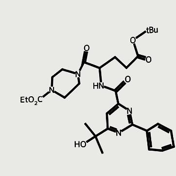 CCOC(=O)N1CCN(C(=O)C(CCC(=O)OC(C)(C)C)NC(=O)c2cc(C(C)(C)O)nc(-c3ccccc3)n2)CC1